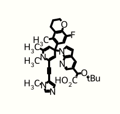 CC1=CC(c2cc(F)c3c(c2C)CCCO3)(n2ccc3cc(C(OC(C)(C)C)C(=O)O)cnc32)C=C(C#Cc2cncn2C)N1C